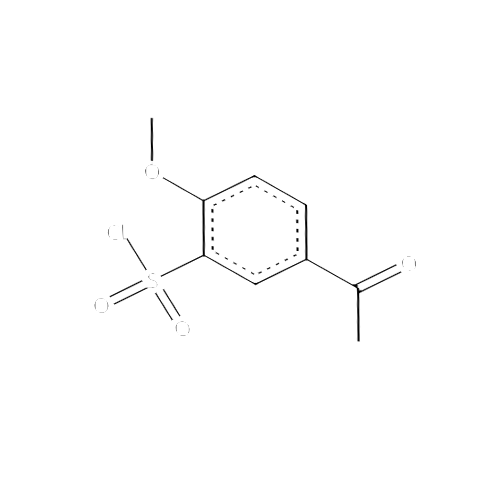 COc1ccc(C(C)=O)cc1S(=O)(=O)Cl